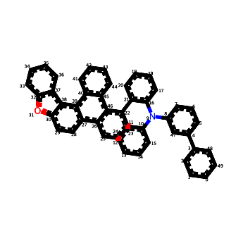 c1ccc(-c2cccc(N(c3ccccc3)c3ccccc3-c3cccc4c5ccc6oc7ccccc7c6c5c5ccccc5c34)c2)cc1